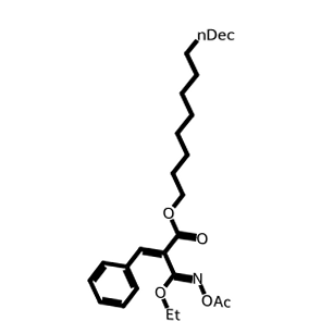 CCCCCCCCCCCCCCCCCCOC(=O)C(=Cc1ccccc1)C(=NOC(C)=O)OCC